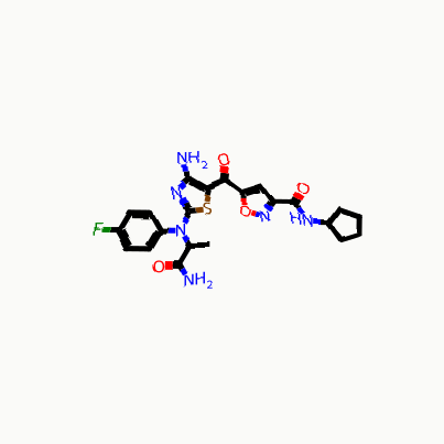 CC(C(N)=O)N(c1ccc(F)cc1)c1nc(N)c(C(=O)c2cc(C(=O)NC3CCCC3)no2)s1